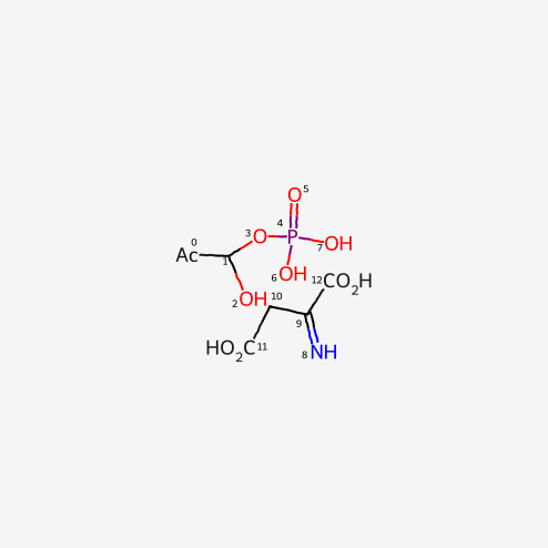 CC(=O)C(O)OP(=O)(O)O.N=C(CC(=O)O)C(=O)O